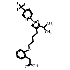 CC(C)c1nn(-c2ccc(C(F)(F)F)cn2)cc1CCCCOc1ccccc1CC(=O)O